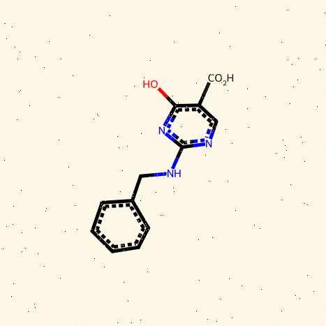 O=C(O)c1cnc(NCc2ccccc2)nc1O